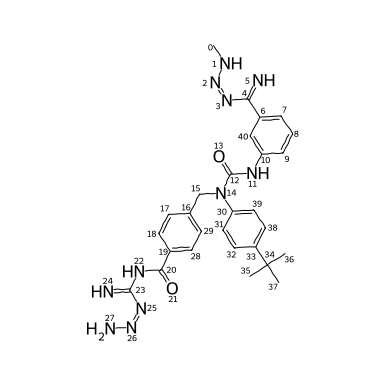 CN/N=N\C(=N)c1cccc(NC(=O)N(Cc2ccc(C(=O)NC(=N)/N=N\N)cc2)c2ccc(C(C)(C)C)cc2)c1